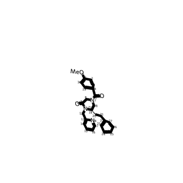 COc1ccc(C(=O)N2CC(=O)N(Cc3ccccn3)[C@@H](CCc3ccccc3)C2)cc1